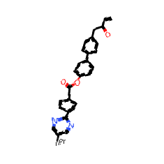 C=CC(=O)Cc1ccc(-c2ccc(OC(=O)c3ccc(-c4ncc(CCC)cn4)cc3)cc2)cc1